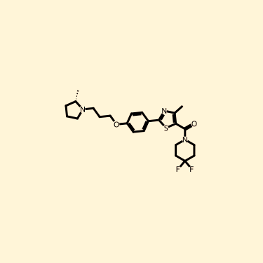 Cc1nc(-c2ccc(OCCCN3CCC[C@@H]3C)cc2)sc1C(=O)N1CCC(F)(F)CC1